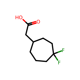 O=C(O)CC1CCCC(F)(F)CC1